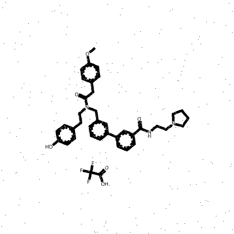 COc1ccc(CC(=O)N(CCc2ccc(O)cc2)Cc2cccc(-c3cccc(C(=O)NCCN4CCCC4)c3)c2)cc1.O=C(O)C(F)(F)F